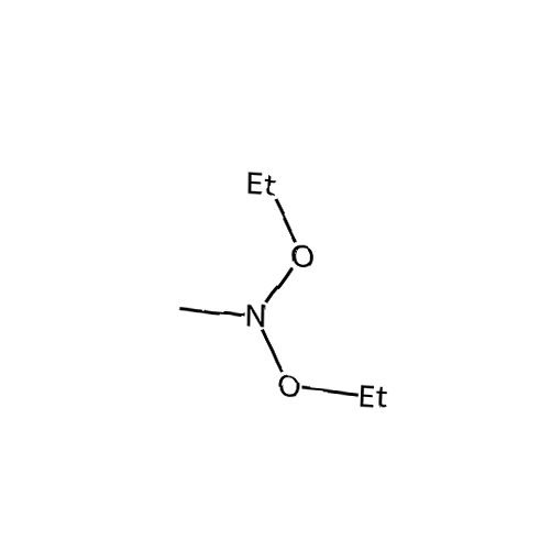 CCON(C)OCC